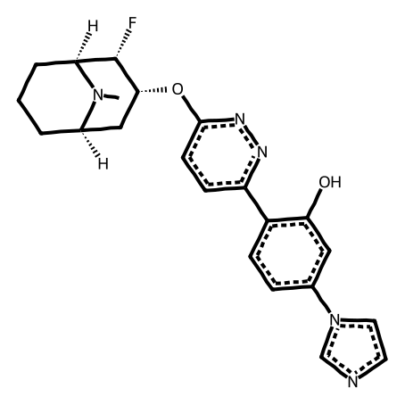 CN1[C@@H]2CCC[C@H]1[C@H](F)[C@H](Oc1ccc(-c3ccc(-n4ccnc4)cc3O)nn1)C2